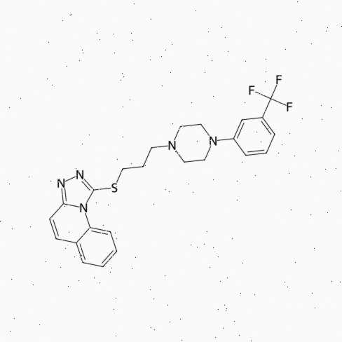 FC(F)(F)c1cccc(N2CCN(CCCSc3nnc4ccc5ccccc5n34)CC2)c1